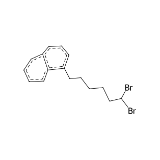 BrC(Br)CCCCCc1cccc2ccccc12